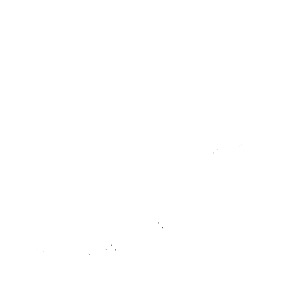 Cc1ccc(SOCCCN2CCN(Cc3ccccc3)CC2)cc1